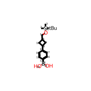 CC(C)(C)[Si](C)(C)OCC1CC(c2ccc(B(O)O)cc2)C1